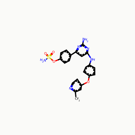 Nc1nc(Nc2ccc(Oc3ccnc(C(F)(F)F)c3)cc2)cc(-c2ccc(OS(N)(=O)=O)cc2)n1